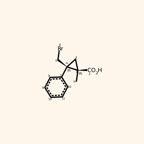 C[C@@]1(C(=O)O)C[C@@]1(CBr)c1ccccc1